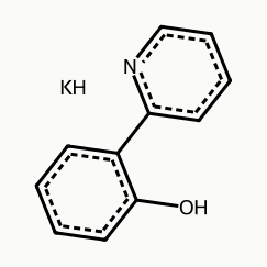 Oc1ccccc1-c1ccccn1.[KH]